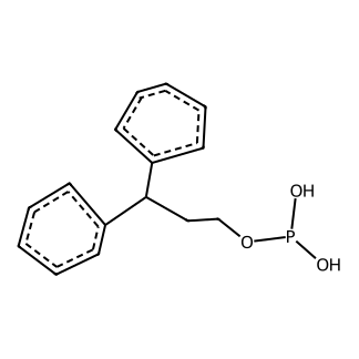 OP(O)OCCC(c1ccccc1)c1ccccc1